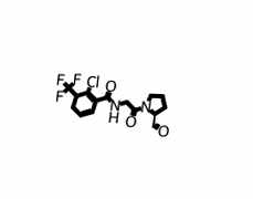 O=C[C@@H]1CCCN1C(=O)CNC(=O)C1=C(Cl)C(C(F)(F)F)CC=C1